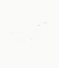 CCCCC(O)O[C@@]1(O)CC[C@@]2(C)[C@H](C[C@@H](O)[C@@H]3[C@@H]2C[C@H](O)[C@]2(C)[C@@H]([C@H](C)CCC(=O)OC)CC[C@@H]32)C1